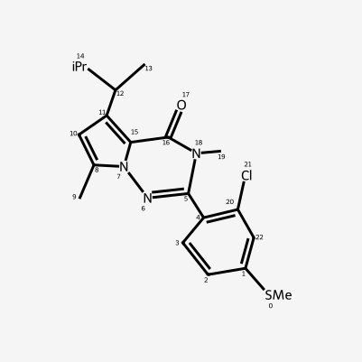 CSc1ccc(-c2nn3c(C)cc(C(C)C(C)C)c3c(=O)n2C)c(Cl)c1